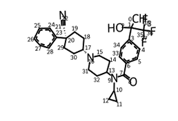 CC(O)(c1ccc(C(=O)N(C2CC2)C2CCN([C@H]3CC[C@](C#N)(c4ccccc4)CC3)CC2)cc1)C(F)(F)F